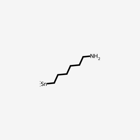 NCCCCC[CH2][Sn]